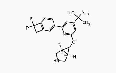 CC(C)(N)c1cc(OC2[C@H]3CNC[C@@H]23)nc(-c2ccc3c(c2)CC3(F)F)c1